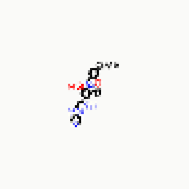 COc1ccc(CN2C(=O)C3(CCC3)c3cc(C(=N)/C=C\Nc4ccncc4)cc(O)c32)cc1